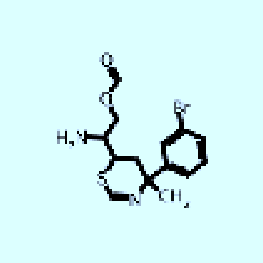 CC1(c2cccc(Br)c2)CC(C(N)COC=O)SC=N1